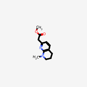 COC(=O)Cc1ccc2c(n1)N(C)CCC2